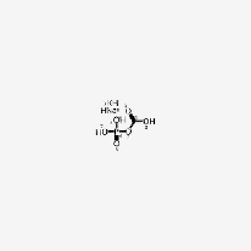 O=C(O)OP(=O)(O)O.[KH].[NaH]